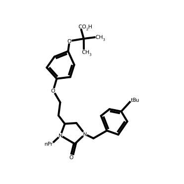 CCCN1C(=O)N(Cc2ccc(C(C)(C)C)cc2)CC1CCOc1ccc(OC(C)(C)C(=O)O)cc1